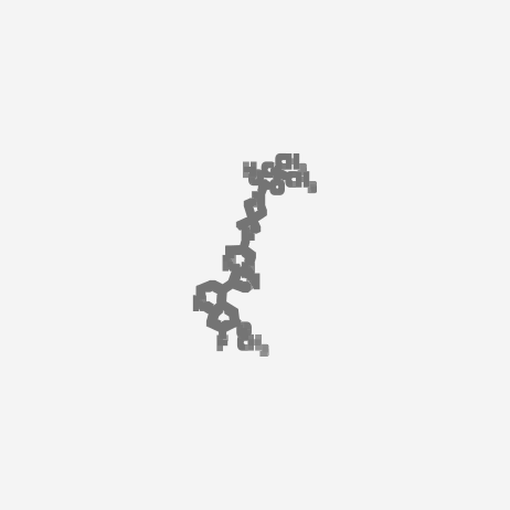 COc1cc2c(-c3cnn4cc(N5CC6(CN(C(=O)OC(C)(C)C)C6)C5)cnc34)ccnc2cc1F